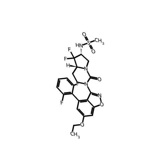 CCOc1cc(-c2c(F)cccc2F)c2c(N3CC[C@H]4N(C[C@@H](NS(C)(=O)=O)C4(F)F)C3=O)noc2c1